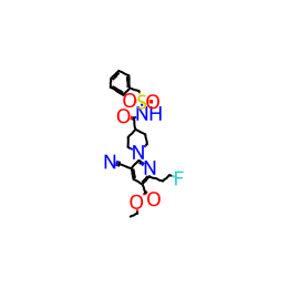 CCOC(=O)c1cc(C#N)c(N2CCC(C(=O)NS(=O)(=O)Cc3ccccc3)CC2)nc1CCF